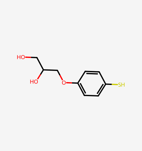 OCC(O)COc1ccc(S)cc1